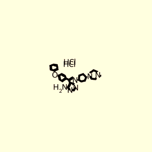 CN1CCCN([C@H]2CC[C@H](n3cc(-c4ccc(Oc5ccccc5)cc4)c4c(N)ncnc43)CC2)CC1.Cl.Cl